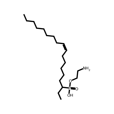 CCCCCCCC/C=C\CCCCCC(CC)P(=O)(O)OCCN